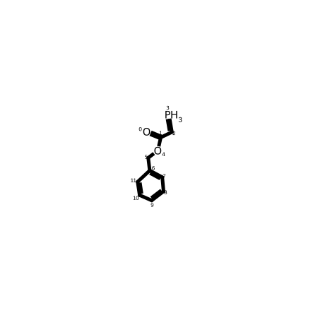 O=C(C=[PH3])OCc1ccccc1